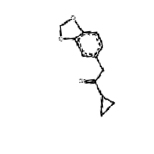 O=C(Cc1ccc2c(c1)OCO2)C1CC1